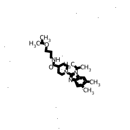 Cc1cc2nc(N3CCC(C(=O)NCCCOC(C)C)CC3)n(C(C)C)c2cc1C